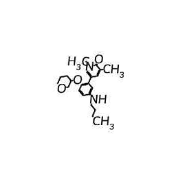 CCCCNc1ccc(OC2CCCOC2)c(-c2cc(C)c(=O)n(C)c2)c1